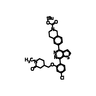 CN1CCC(COc2cc(Cl)ccc2-c2nnc(-c3ccc4c(c3)CCN(C(=O)OC(C)(C)C)C4)c3ccsc23)CC1=O